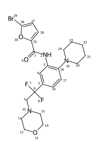 O=C(Nc1cc(C(F)(F)CN2CCOCC2)ccc1N1CCCCC1)c1ccc(Br)o1